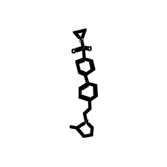 CC1CCCN1CCc1ccc(-c2ccc(S(=O)(=O)N3CC3)cc2)cc1